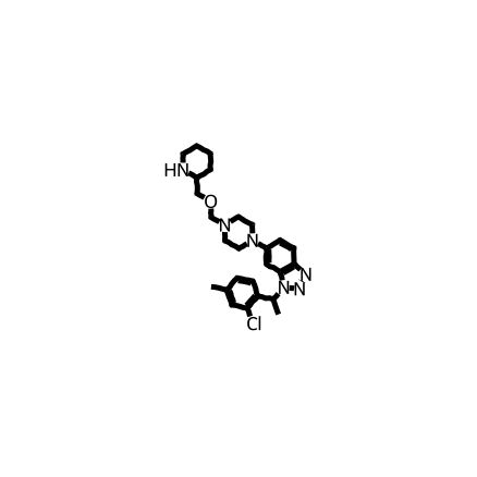 Cc1ccc(C(C)n2nnc3ccc(N4CCN(COCC5CCCCN5)CC4)cc32)c(Cl)c1